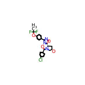 CC(F)(F)Oc1ccc(-c2noc([C@@H]3CC(=O)CN3C(=O)c3ccc(Cl)cc3)n2)cc1